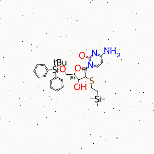 CC(C)(C)[Si](OC[C@H]1O[C@@H](n2ccc(N)nc2=O)C(SCC[Si](C)(C)C)C1O)(c1ccccc1)c1ccccc1